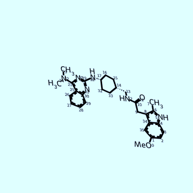 COc1ccc2[nH]c(C)c(CC(=O)NC[C@H]3CC[C@@H](Nc4nc(N(C)C)c5ccccc5n4)CC3)c2c1